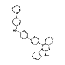 CC1(C)C2=C(CCC=C2)c2c1cc1ccccc1c2-c1ccc(-c2ccc(Nc3ccc(-c4ccccc4)cc3)cc2)cc1